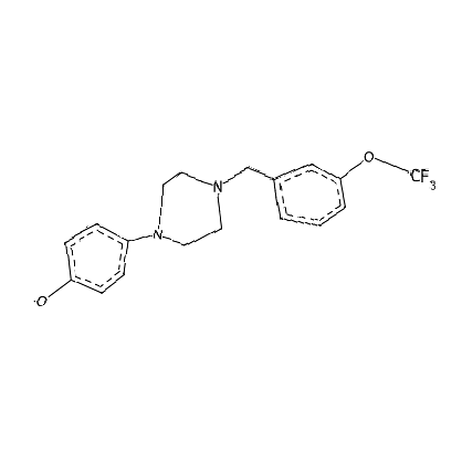 [O]c1ccc(N2CCN(Cc3cccc(OC(F)(F)F)c3)CC2)cc1